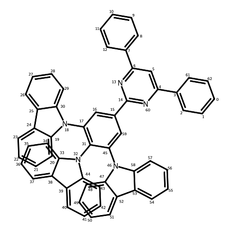 c1ccc(-c2cc(-c3ccccc3)nc(-c3cc(-n4c5ccccc5c5ccccc54)c(-n4c5ccccc5c5ccccc54)c(-n4c5ccccc5c5ccccc54)c3)n2)cc1